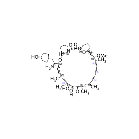 CO[C@H]1C[C@@H]2CCC[C@@](O)(O2)C(=O)C(=O)N2CCCC[C@H]2CO[C@H]([C@H](N)C[C@H]2CC[C@H](O)CC2)CC[C@H](C)/C=C(\C)[C@@H](O)[C@@H](O)C(=O)[C@H](C)C[C@H](C)/C=C/C=C/C=C/1C